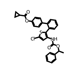 CC(OC(=O)Nc1cc(Cl)sc1-c1ccccc1-c1ccc(OC(=O)C2CC2)cc1)c1ccccc1